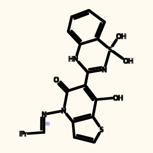 CC(C)/C=N/n1c(=O)c(C2=NS(O)(O)c3ccccc3N2)c(O)c2sccc21